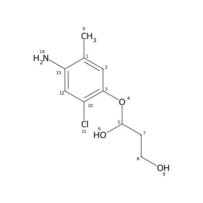 Cc1cc(OC(O)CCO)c(Cl)cc1N